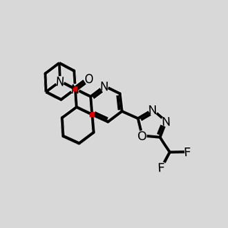 O=C(C1CCCCC1)N1C2CC1CN(c1ccc(-c3nnc(C(F)F)o3)cn1)C2